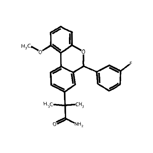 COc1cccc2c1-c1ccc(C(C)(C)C(N)=O)cc1C(c1cccc(F)c1)O2